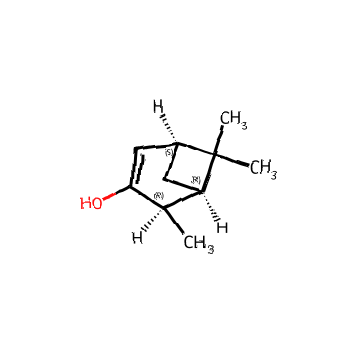 C[C@H]1C(O)=C[C@@H]2C[C@H]1C2(C)C